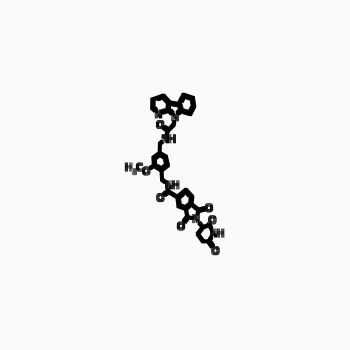 COc1cc(CNC(=O)Cn2c3ccccc3c3cccnc32)ccc1CNC(=O)c1ccc2c(c1)C(=O)N(C1CCC(=O)NC1=O)C2=O